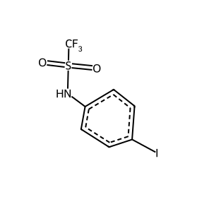 O=S(=O)(Nc1ccc(I)cc1)C(F)(F)F